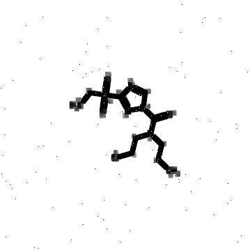 CCCN(CCCl)C(=O)n1cnc(S(=O)(=O)CC)n1